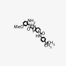 COc1ccc(N)c(NC(=O)c2nc3c(s2)CN(C(=O)Nc2ccc(N(C)C)cc2)CC3)c1